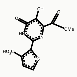 COC(=O)c1nc(-c2sccc2C(=O)O)[nH]c(=O)c1O